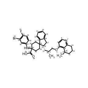 C[C@@H](COc1ccnc2c1[C@H](C)CCC2)C[C@H]1Cc2ccccc2C12CCC(Nc1ccc(F)c(Br)c1)(C(=O)O)CC2